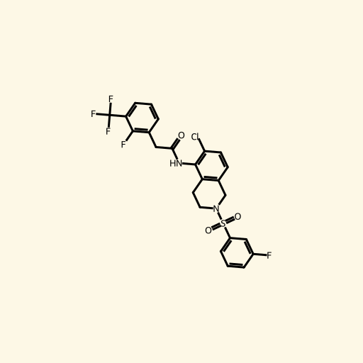 O=C(Cc1cccc(C(F)(F)F)c1F)Nc1c(Cl)ccc2c1CCN(S(=O)(=O)c1cccc(F)c1)C2